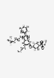 CCSCc1cc2c(cc1Oc1ccc(S(=O)(=O)CC)cc1)nc(-c1ccccn1)n2COCC[Si](C)(C)C